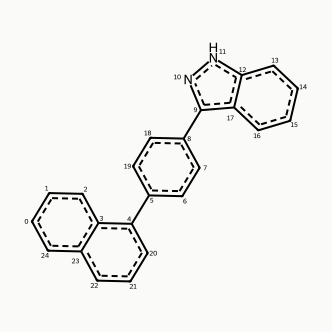 c1ccc2c(-c3ccc(-c4n[nH]c5ccccc45)cc3)cccc2c1